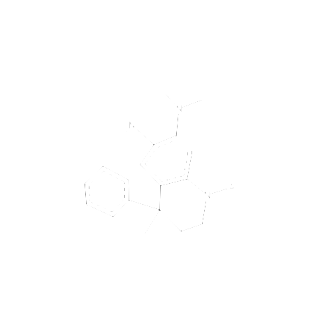 CC(=O)N1CCC(C)(c2ccccc2)c2cc(N)c(N(C)C)cc21